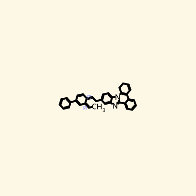 C/C=c1/cc(-c2ccccc2)cc/c1=C/Cc1ccc2c(c1)nc1c3ccccc3c3c(n21)CCC=C3